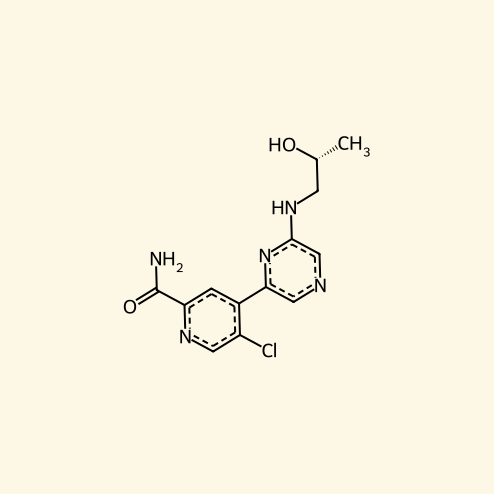 C[C@@H](O)CNc1cncc(-c2cc(C(N)=O)ncc2Cl)n1